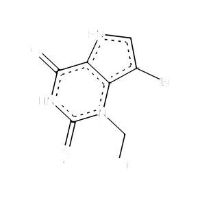 CC(C)Cn1c(=S)[nH]c(=O)c2[nH]cc(Br)c21